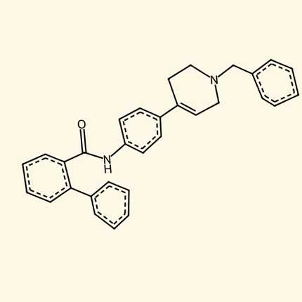 O=C(Nc1ccc(C2=CCN(Cc3ccccc3)CC2)cc1)c1ccccc1-c1ccccc1